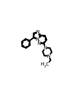 CCN1CCN(c2ccc3ncc(-c4ccccc4)n3n2)CC1